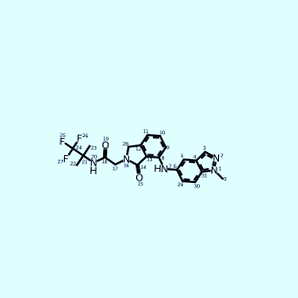 Cn1ncc2cc(Nc3cccc4c3C(=O)N(CC(=O)NC(C)(C)C(F)(F)F)C4)ccc21